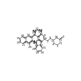 C=C1CCCC(CCc2cc3ncnc4c5cc6ccccc6c(C)c5n5c6ccccc6c2c5c34)C1